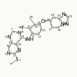 CSc1ncc2ncnc(Nc3ccc(Oc4ccn5ncnc5c4)c(C)c3F)c2n1